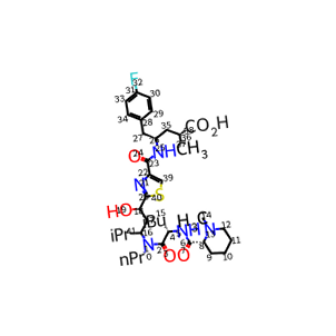 CCCN(C(=O)[C@@H](NC(=O)[C@H]1CCCCN1C)C(C)CC)C(C[C@@H](O)c1nc(C(=O)N[C@@H](Cc2ccc(F)cc2)C[C@H](C)C(=O)O)cs1)C(C)C